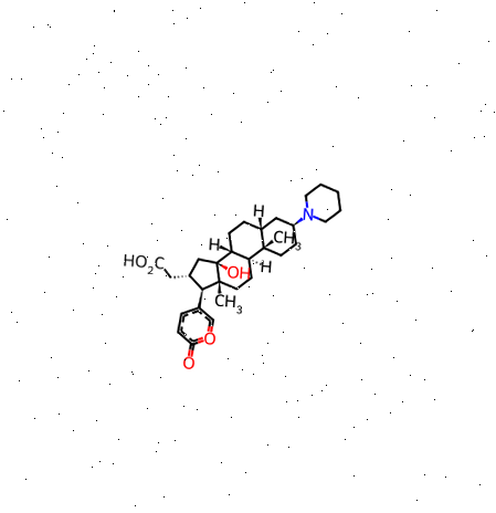 C[C@]12CC[C@H](N3CCCCC3)C[C@H]1CC[C@@H]1[C@@H]2CC[C@]2(C)[C@@H](c3ccc(=O)oc3)[C@H](CC(=O)O)C[C@]12O